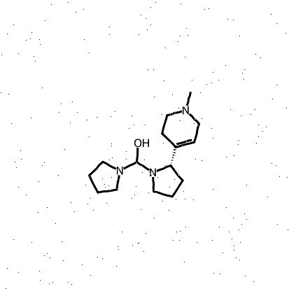 CN1CC=C([C@@H]2CCCN2C(O)N2CCCC2)CC1